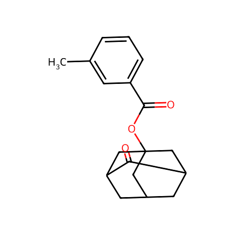 Cc1cccc(C(=O)OC23CC4CC(C2)C(=O)C(C4)C3)c1